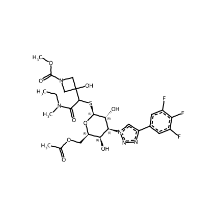 CCN(C)C(=O)C(S[C@@H]1O[C@H](COC(C)=O)[C@H](O)[C@H](n2cc(-c3cc(F)c(F)c(F)c3)nn2)[C@H]1O)C1(O)CN(C(=O)OC)C1